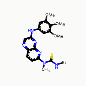 CCNC(=S)N(C)c1ccc2ncc(Nc3cc(OC)c(OC)c(OC)c3)nc2n1